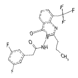 CCCc1nc2c(C(F)(F)F)cccc2c(=O)n1NC(=O)Cc1cc(F)cc(F)c1